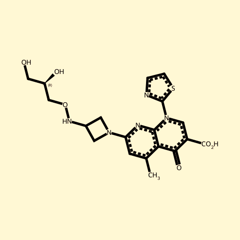 Cc1cc(N2CC(NOC[C@H](O)CO)C2)nc2c1c(=O)c(C(=O)O)cn2-c1nccs1